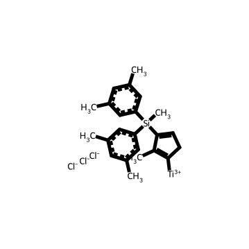 CC1=[C]([Ti+3])CC=C1[Si](C)(c1cc(C)cc(C)c1)c1cc(C)cc(C)c1.[Cl-].[Cl-].[Cl-]